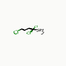 [SiH3]C(Cl)(Cl)CCCCl